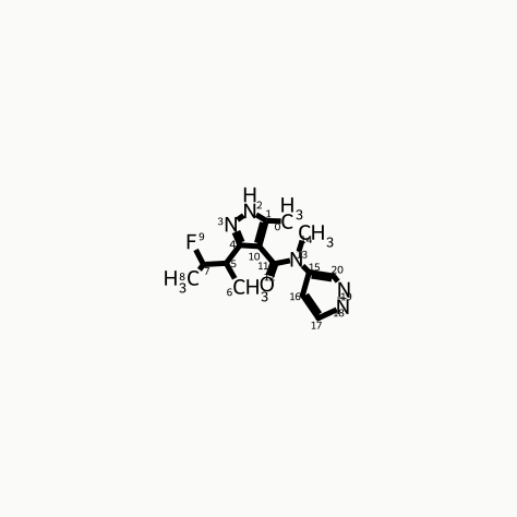 Cc1[nH]nc(C(C)C(C)F)c1C(=O)N(C)c1ccnnc1